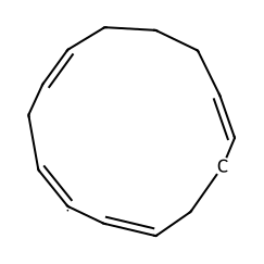 [C]1=CCC=CCCCC=CCCC=C1